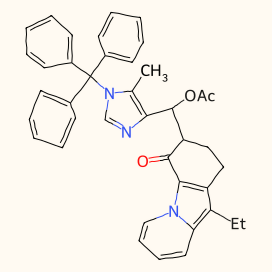 CCc1c2c(n3ccccc13)C(=O)C(C(OC(C)=O)c1ncn(C(c3ccccc3)(c3ccccc3)c3ccccc3)c1C)CC2